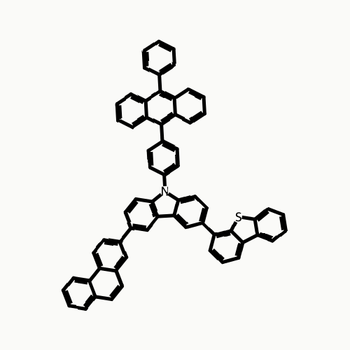 c1ccc(-c2c3ccccc3c(-c3ccc(-n4c5ccc(-c6ccc7c(ccc8ccccc87)c6)cc5c5cc(-c6cccc7c6sc6ccccc67)ccc54)cc3)c3ccccc23)cc1